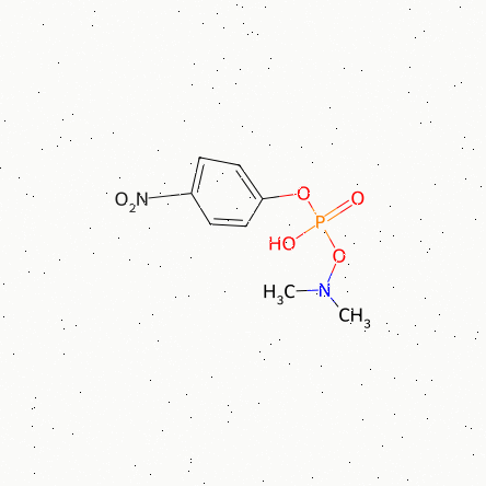 CN(C)OP(=O)(O)Oc1ccc([N+](=O)[O-])cc1